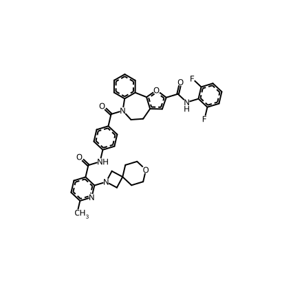 Cc1ccc(C(=O)Nc2ccc(C(=O)N3CCc4cc(C(=O)Nc5c(F)cccc5F)oc4-c4ccccc43)cc2)c(N2CC3(CCOCC3)C2)n1